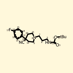 CC(C)(C)OC(=O)NCCCN1CCC(C#N)(c2ccc(F)cc2)CC1